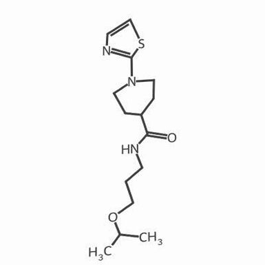 CC(C)OCCCNC(=O)C1CCN(c2nccs2)CC1